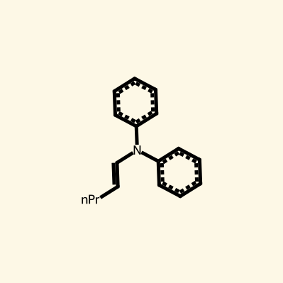 CCCC=CN(c1ccccc1)c1ccccc1